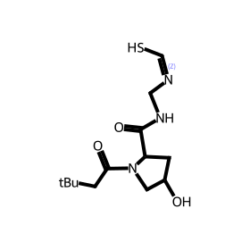 CC(C)(C)CC(=O)N1CC(O)CC1C(=O)NC/N=C\S